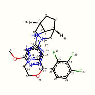 COc1cc(N2C[C@H]3CC[C@@H](C2)[C@@H]3Nc2nc3n(n2)CCO[C@H]3c2ccc(F)c(F)c2F)cnn1